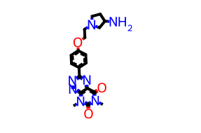 Cn1c(=O)c2nc(-c3ccc(OCCN4CCC(N)C4)cc3)nnc2n(C)c1=O